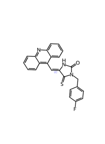 O=C1N/C(=C\c2c3ccccc3nc3ccccc23)C(=S)N1Cc1ccc(F)cc1